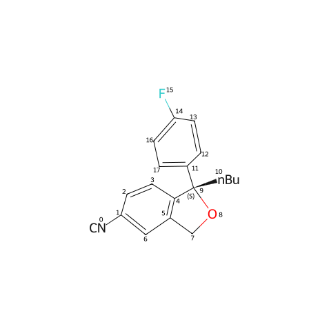 [C-]#[N+]c1ccc2c(c1)CO[C@@]2(CCCC)c1ccc(F)cc1